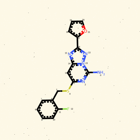 Nc1nc(SCc2ccccc2F)cc2nc(-c3ccco3)nn12